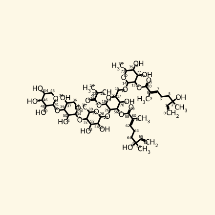 C=CC(C)(O)CC/C=C(\C)C(=O)OC1C(OCC2OC(OC(=O)C(C)C)C(OC3OC(C)C(OC4OCC(O)C(OC5OCC(O)C(O)C5O)C4O)C(O)C3O)C(OC(=O)/C(C)=C/CCC(C)(O)C=C)C2O)OC(C)C(O)C1O